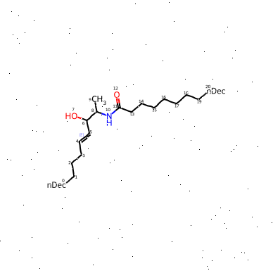 CCCCCCCCCCCCC/C=C/C(O)C(C)NC(=O)CCCCCCCCCCCCCCCCC